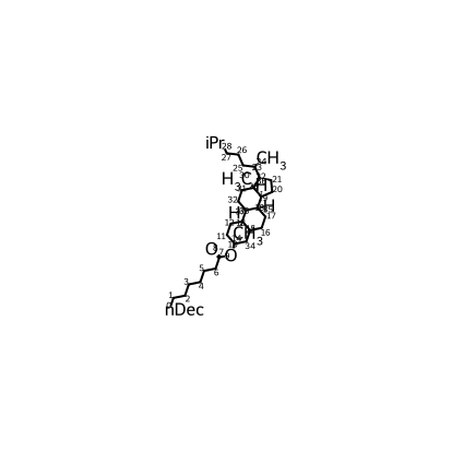 CCCCCCCCCCCCCCCCC(=O)OC1CC[C@@]2(C)C(CC[C@H]3[C@@H]4CC[C@H]([C@H](C)CCCC(C)C)[C@@]4(C)CC[C@@H]32)C1